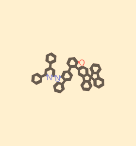 c1ccc(-c2cc(-c3ccccc3)nc(-n3c4ccccc4c4ccc(-c5cccc6oc7cc8c(cc7c56)-c5ccccc5C85c6ccccc6-c6ccccc65)cc43)c2)cc1